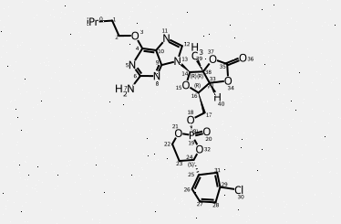 CC(C)CCOc1nc(N)nc2c1ncn2[C@@H]1O[C@H](CO[P@@]2(=O)OCC[C@@H](c3cccc(Cl)c3)O2)[C@H]2OC(=O)O[C@]21C